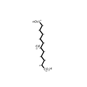 CCCCCCCCCCCCCCCCCCC(=O)O.[Cd]